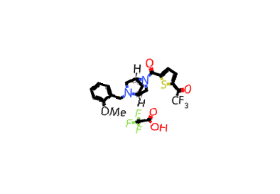 COc1ccccc1CN1C[C@@H]2C[C@H]1CN2C(=O)c1ccc(C(=O)C(F)(F)F)s1.O=C(O)C(F)(F)F